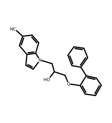 N#Cc1ccc2c(ccn2CC(O)COc2ccccc2-c2ccccc2)c1